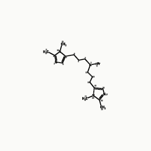 CCCN(CCCc1cnc(C)n1C)CCCc1cnc(C)n1C